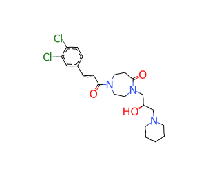 O=C(C=Cc1ccc(Cl)c(Cl)c1)N1CCC(=O)N(C[C@H](O)CN2CCCCC2)CC1